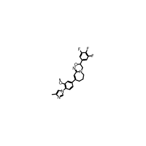 COc1cc(C2=CC3=NOC(c4cc(F)c(F)c(F)c4)CN3CCC2)ccc1-n1cnc(C)c1